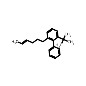 CC=CCCCc1c[c]cc(C(C)(C)C)c1-c1ccccc1